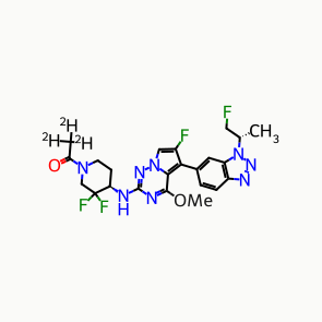 [2H]C([2H])([2H])C(=O)N1CC[C@@H](Nc2nc(OC)c3c(-c4ccc5nnn([C@@H](C)CF)c5c4)c(F)cn3n2)C(F)(F)C1